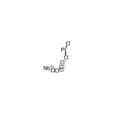 [Cl-].[Cl-].[Cl-].[Cl-].[Cl-].[Cl][Pt][Cl].[Nb+5]